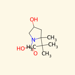 CC(C)(C)C1(C)CC(O)CN1C(=O)O